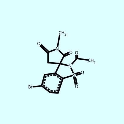 CC(=O)N1C2(CC(=O)N(C)C2=O)c2cc(Br)ccc2S1(=O)=O